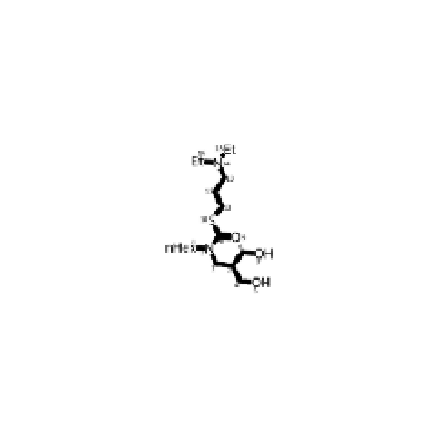 CCCCCCN(CC(CO)CO)C(=O)SCCCN(CC)CC